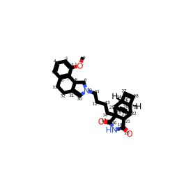 COc1cccc2c1C1CN(CCCCC34C(=O)NC(=O)C3C3C=CC4[C@@H]4C=C[C@@H]34)C=C1CC2